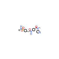 CCN(C(=O)c1ccc(NC(=O)Cc2ccc(S(=O)(=O)NC3CC3)cc2)cc1)c1cccnc1